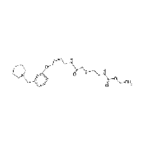 CCOC(=O)NCCSCC(=O)NC/C=C\COc1cccc(CN2CCCCC2)c1